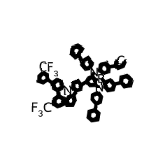 FC(F)(F)c1cccc(-c2ccc(-n3c4ccccc4c4cc(-c5cc6c7c(c5)N(c5ccc(-c8ccccc8)cc5)c5ccc(-c8ccccc8)cc5B7c5cc(-c7ccccc7)ccc5N6c5ccc(-c6ccccc6)cc5)ccc43)c(-c3cccc(C(F)(F)F)c3)c2)c1